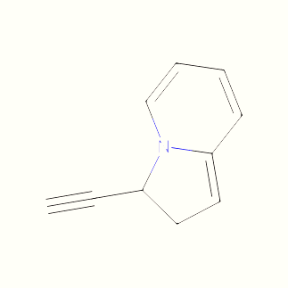 C#CC1CC=C2C=CC=CN21